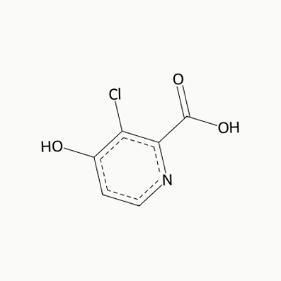 O=C(O)c1nccc(O)c1Cl